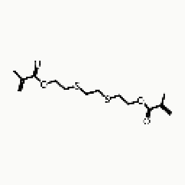 C=C(C)C(=O)OCCSCCSCCOC(=O)C(=C)C